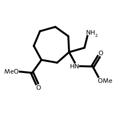 COC(=O)NC1(CN)CCCCC(C(=O)OC)C1